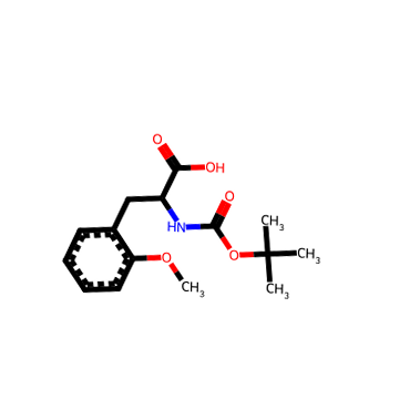 COc1ccccc1CC(NC(=O)OC(C)(C)C)C(=O)O